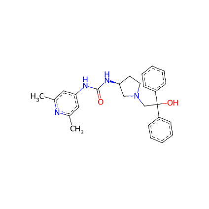 Cc1cc(NC(=O)N[C@H]2CCN(CC(O)(c3ccccc3)c3ccccc3)C2)cc(C)n1